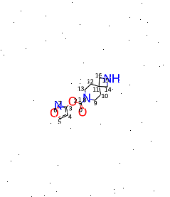 O=C(Oc1ccon1)N1CCC2(CC1)CNC2